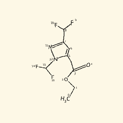 CCOC(=O)c1cc(C(F)F)nn1C(F)F